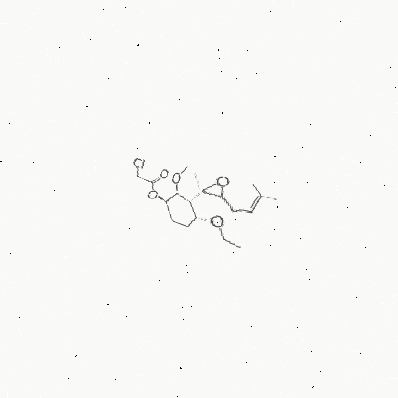 CCO[C@@H]1CC[C@@H](OC(=O)CCl)[C@@H](OC)[C@@H]1[C@@]1(C)OC1CC=C(C)C